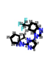 CC[C@@]1(Nc2nccc(-n3cnc4ccc(C(F)(F)F)cc43)n2)C=CC=CC1